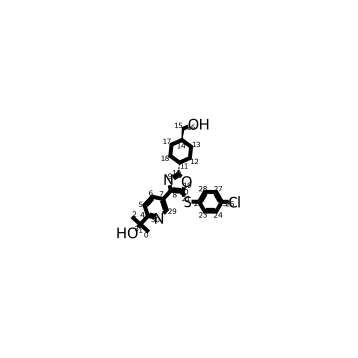 CC(C)(O)c1ccc(-c2nc([C@H]3CC[C@H](CO)CC3)oc2Sc2ccc(Cl)cc2)cn1